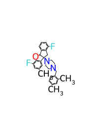 Cc1cc(F)cc(C2(N3CCN(Cc4ccc(C)cc4C)CC3)Cc3c(F)cccc3C2=O)c1